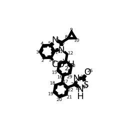 O=C(O)c1cccc2nc(C3CC3)n(Cc3ccc(-c4ccccc4-c4nc(=O)s[nH]4)cc3)c12